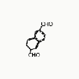 O=Cc1ccc2c(c1)=CCC(C=O)C=2